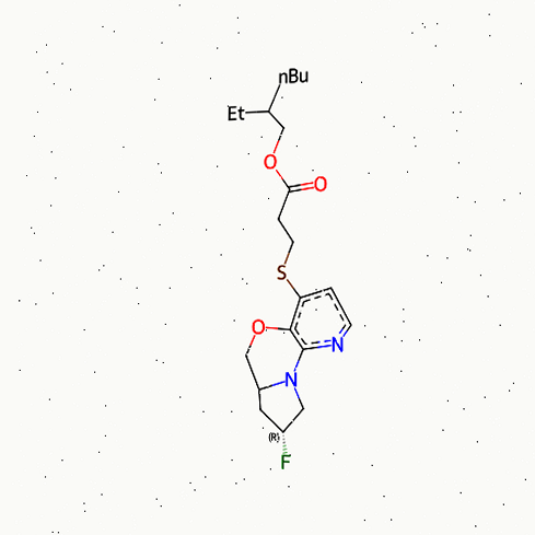 CCCCC(CC)COC(=O)CCSc1ccnc2c1OCC1C[C@@H](F)CN21